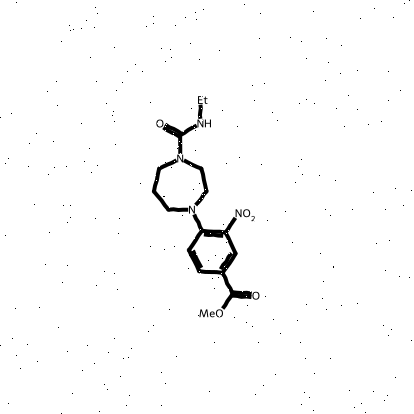 CCNC(=O)N1CCCN(c2ccc(C(=O)OC)cc2[N+](=O)[O-])CC1